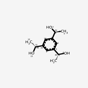 C[C@H](O)c1cc([C@@H](C)O)cc([C@@H](C)O)c1